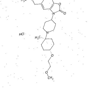 COCCO[C@H]1CC[C@](C)(N2CCC(n3c(=O)oc4ccc(COC)cc43)CC2)CC1.Cl